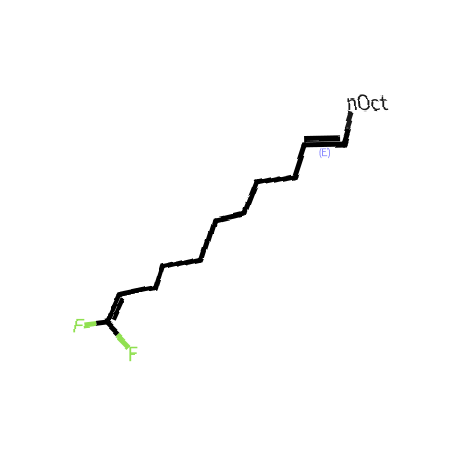 CCCCCCCC/C=C/CCCCCCCC=C(F)F